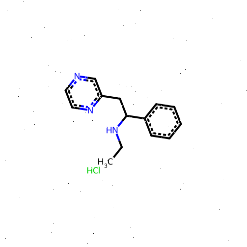 CCNC(Cc1cnccn1)c1ccccc1.Cl